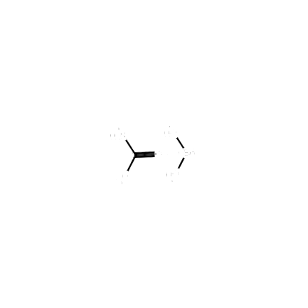 NC(=O)O.OBO